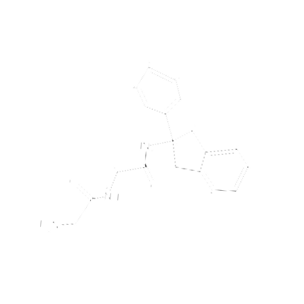 NCC(=O)NCC(=O)NC1(c2ccccc2)Cc2ccccc2C1